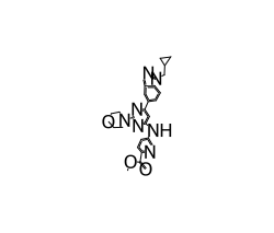 COC(=O)c1ccc(Nc2cc(-c3ccc4c(cnn4CC4CC4)c3)nc(N3CCOCC3)n2)cn1